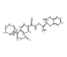 O=C(NCC(O)[C@@H]1Cc2ccccc2CN1)c1ccc(C(=O)N2C3CCC2COC3)c(C(F)F)c1